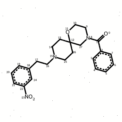 O=C(c1ccccc1)N1CCOC2(CCN(CCc3cccc([N+](=O)[O-])c3)CC2)C1